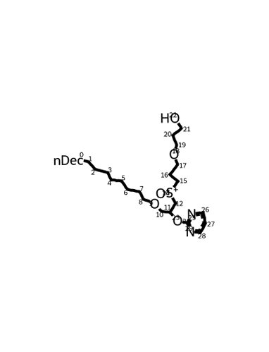 CCCCCCCCCCCCCCCCCCOCC(C[S+]([O-])CCCOCCCO)Oc1ncccn1